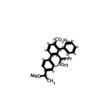 CCCCCCCCC(CCC)c1c(-c2ccc(C(C)OC)cc2)ccc(C(=O)O)c1-c1ccccc1